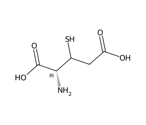 N[C@H](C(=O)O)C(S)CC(=O)O